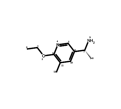 CCOc1ncc([C@@H](C)N)cc1C